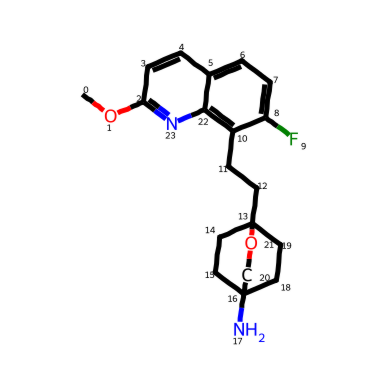 COc1ccc2ccc(F)c(CCC34CCC(N)(CC3)CO4)c2n1